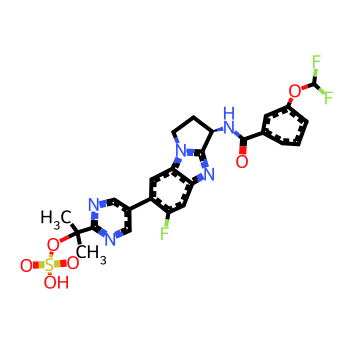 CC(C)(OS(=O)(=O)O)c1ncc(-c2cc3c(cc2F)nc2n3CC[C@H]2NC(=O)c2cccc(OC(F)F)c2)cn1